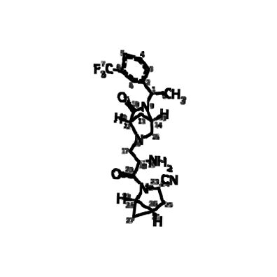 C[C@H](c1cccc(C(F)(F)F)c1)N1C(=O)[C@@H]2C[C@H]1CN2C[C@H](N)C(=O)N1[C@H](C#N)C[C@@H]2C[C@@H]21